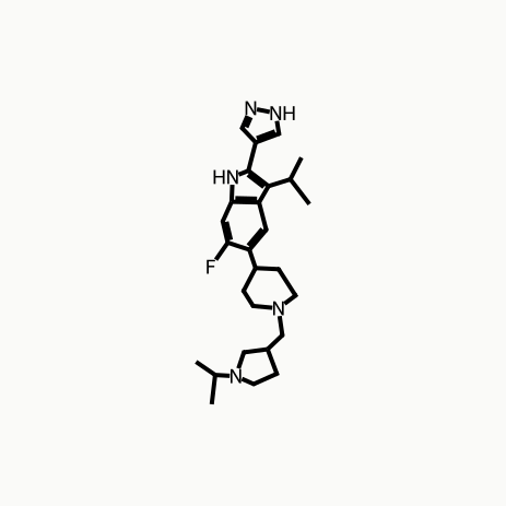 CC(C)c1c(-c2cn[nH]c2)[nH]c2cc(F)c(C3CCN(CC4CCN(C(C)C)C4)CC3)cc12